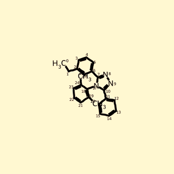 CCc1cccc(-c2nnc(-c3ccccc3)n2-c2c(C)cccc2C)c1